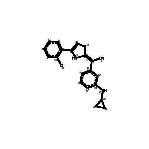 N#C/C(=C1/NC(c2ccccc2Cl)=CS1)c1ccnc(NC2CC2)n1